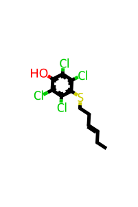 CC/C=C/CCSc1c(Cl)c(Cl)c(O)c(Cl)c1Cl